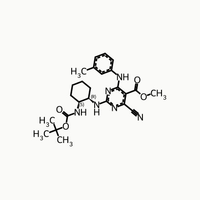 COC(=O)c1c(C#N)nc(N[C@@H]2CCCC[C@@H]2NC(=O)OC(C)(C)C)nc1Nc1cccc(C)c1